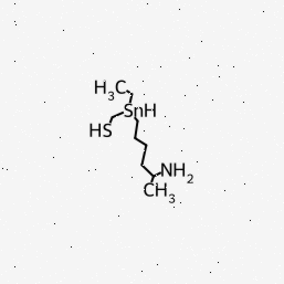 C[CH2][SnH]([CH2]S)[CH2]CCCC(C)N